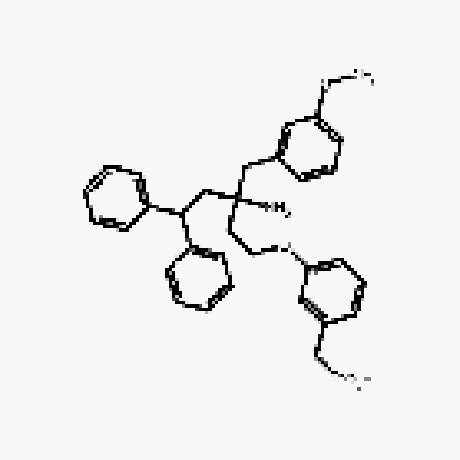 NC(CCOc1cccc(CC(=O)O)c1)(Cc1cccc(OC(F)(F)F)c1)CC(c1ccccc1)c1ccccc1